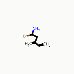 C=CC(=C)CC(N)Br